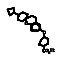 CCOC(=O)C1CCC(Oc2ccc3c(c2)CCC2(CCN(C4CCC4)CC2)O3)CC1